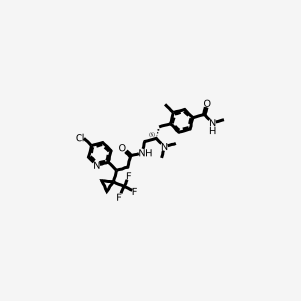 CNC(=O)c1ccc(C[C@@H](CNC(=O)CC(c2ccc(Cl)cn2)C2(C(F)(F)F)CC2)N(C)C)c(C)c1